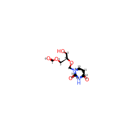 O=COC[C@@H](CO)OCn1ccc(=O)[nH]c1=O